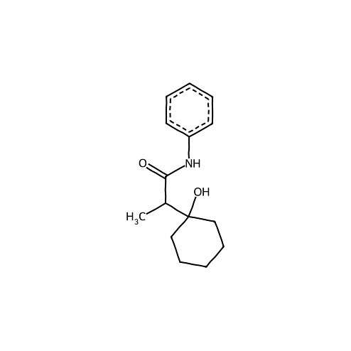 CC(C(=O)Nc1ccccc1)C1(O)CCCCC1